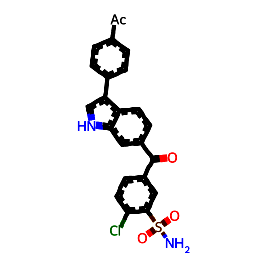 CC(=O)c1ccc(-c2c[nH]c3cc(C(=O)c4ccc(Cl)c(S(N)(=O)=O)c4)ccc23)cc1